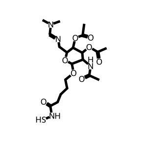 CC(=O)NC1C(OCCCCC(=O)NS)OC(C/N=C/N(C)C)C(OC(C)=O)C1OC(C)=O